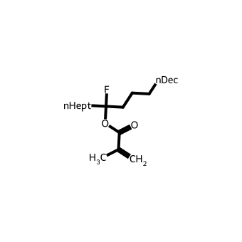 C=C(C)C(=O)OC(F)(CCCCCCC)CCCCCCCCCCCCC